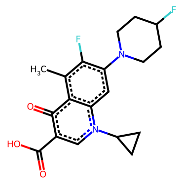 Cc1c(F)c(N2CCC(F)CC2)cc2c1c(=O)c(C(=O)O)cn2C1CC1